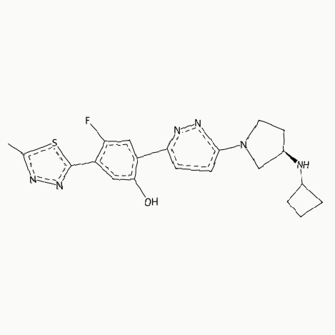 Cc1nnc(-c2cc(O)c(-c3ccc(N4CC[C@@H](NC5CCC5)C4)nn3)cc2F)s1